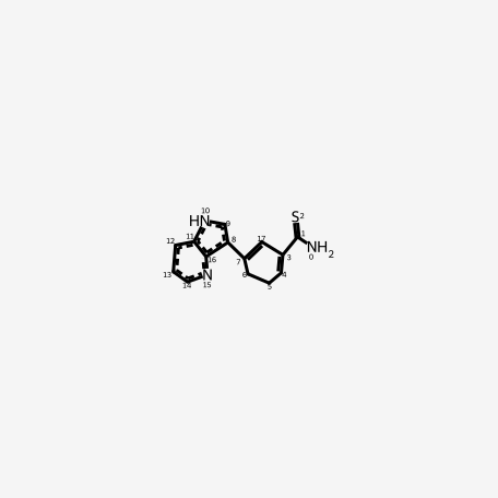 NC(=S)C1=CCCC(c2c[nH]c3cccnc23)=C1